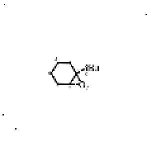 CC(C)(C)C12CCCCC1O2